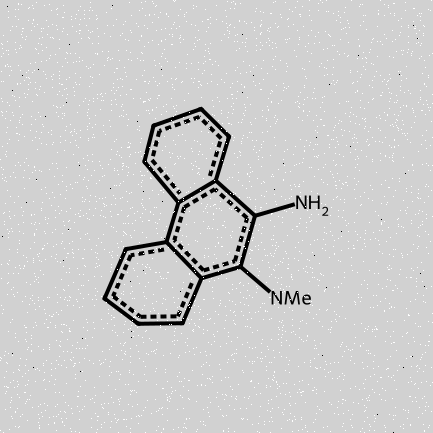 CNc1c(N)c2ccccc2c2ccccc12